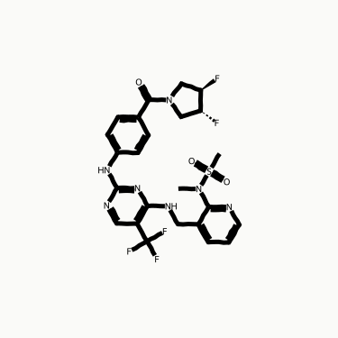 CN(c1ncccc1CNc1nc(Nc2ccc(C(=O)N3C[C@@H](F)[C@H](F)C3)cc2)ncc1C(F)(F)F)S(C)(=O)=O